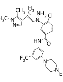 CCN1CCN(c2cc(NC(=O)c3ccc(Cl)c(N(N)/C=C(\C)c4cnn(C)c4C)c3)cc(C(F)(F)F)c2)CC1